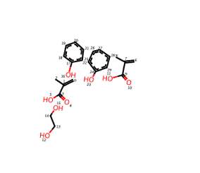 C=C(C)C(=O)O.C=C(C)C(=O)O.OCCO.Oc1ccccc1.Oc1ccccc1